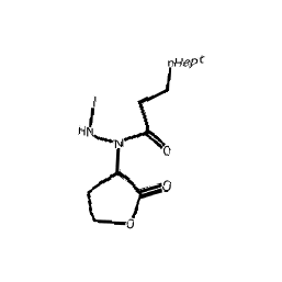 CCCCCCCCCC(=O)N(NI)C1CCOC1=O